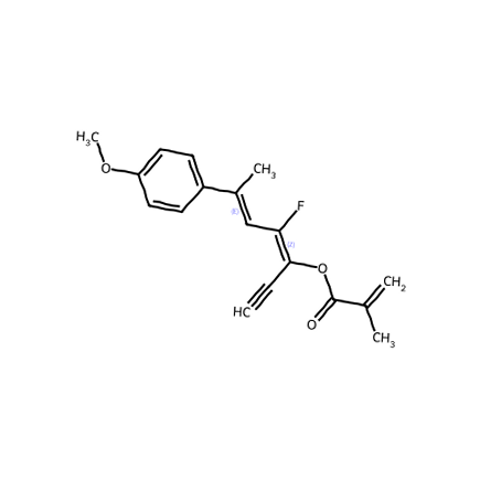 C#C/C(OC(=O)C(=C)C)=C(F)\C=C(/C)c1ccc(OC)cc1